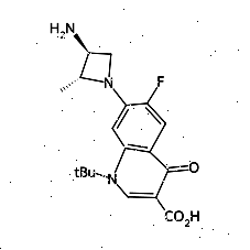 C[C@@H]1[C@@H](N)CN1c1cc2c(cc1F)c(=O)c(C(=O)O)cn2C(C)(C)C